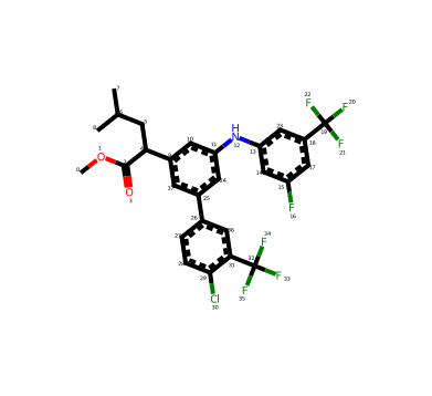 COC(=O)C(CC(C)C)c1cc(Nc2cc(F)cc(C(F)(F)F)c2)cc(-c2ccc(Cl)c(C(F)(F)F)c2)c1